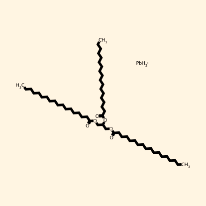 CCCCCCCCCCCCCCCCCC(=O)OCC(COC(=O)CCCCCCCCCCCCCCCCC)OC(=O)CCCCCCCCCCCCCCCCC.[PbH2]